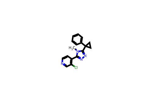 Cn1c(-c2ccncc2Cl)nnc1C1(c2ccccc2)CC1